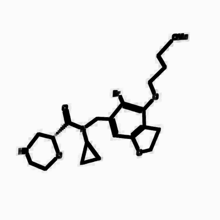 COCCCOc1c(Br)c(CN(C(=O)[C@H]2CNCCO2)C2CC2)cc2c1CCO2